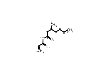 C=CC(=O)OC(=O)CC(C)CCCC